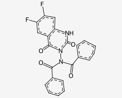 O=C(c1ccccc1)N(C(=O)c1ccccc1)n1c(=O)[nH]c2cc(F)c(F)cc2c1=O